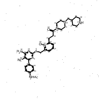 CC(=O)Nc1ccc(-c2nc(SCc3cccc(CCC(=O)N4CCN(CC5CCNCC5)CC4)[n+]3[O-])nc(N)c2C#N)cc1